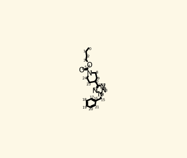 CCCCOC(=O)N1CCC(c2nnn(Cc3ccccc3)n2)CC1